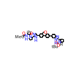 COC(=O)NC(C(=O)N1CCCC1c1ncc(-c2ccc3c(c2)COc2cc(-c4ccc5nc([C@H]6C7CC[C@@H](C7)N6C(=O)OC(C)(C)C)[nH]c5c4)ccc2-3)[nH]1)C(C)C